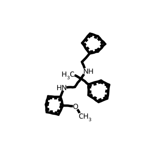 COc1ccccc1NCC(C)(NCc1ccccc1)c1ccccc1